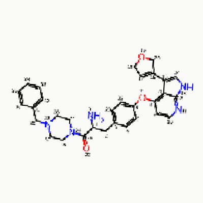 NC(Cc1ccc(Oc2ccnc3[nH]cc(C4=CCOC4)c23)cc1)C(=O)N1CCN(Cc2ccccc2)CC1